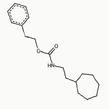 O=C(NCCC1CCCCCC1)OCCc1ccccc1